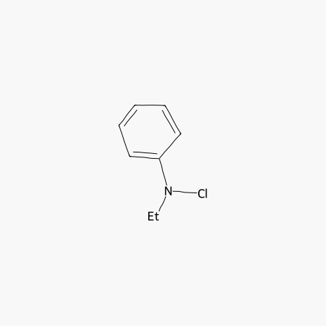 [CH2]CN(Cl)c1ccccc1